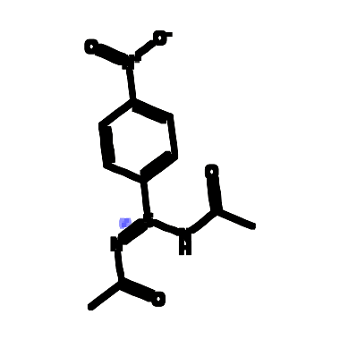 CC(=O)/N=S(\NC(C)=O)c1ccc([N+](=O)[O-])cc1